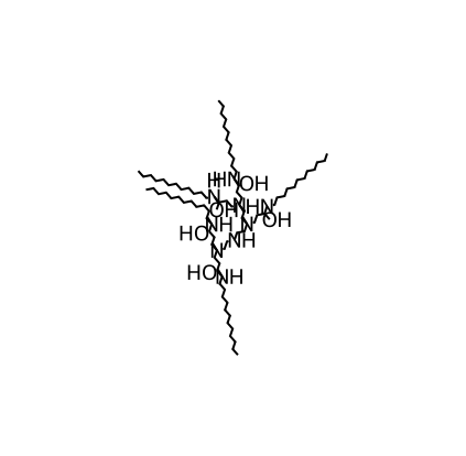 CCCCCCCCCCCCNC(O)CCN(CCNCCN(CCC(O)NCCCCCCCCCCCC)CCN(CCC(O)NCCCCCCCCCCCC)CCC(O)NCCCCCCCCCCCC)CCC(O)NCCCCCCCCCCCC